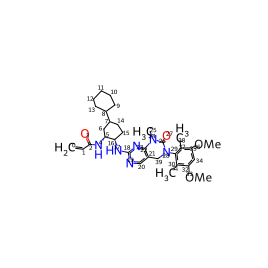 C=CC(=O)N[C@H]1CC(C2CCCCC2)CC[C@H]1Nc1ncc2c(n1)N(C)C(=O)N(c1c(C)c(OC)cc(OC)c1C)C2